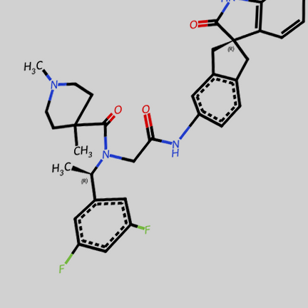 C[C@H](c1cc(F)cc(F)c1)N(CC(=O)Nc1ccc2c(c1)C[C@@]1(C2)C(=O)NC2=C1C=CCN2)C(=O)C1(C)CCN(C)CC1